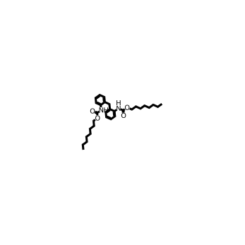 CCCCCCCCOC(=O)Nc1ccccc1Cc1ccccc1NC(=O)OCCCCCCCC